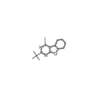 CC(C)(C)c1nc(I)c2c(n1)oc1ccccc12